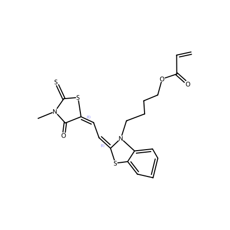 C=CC(=O)OCCCCN1/C(=C\C=C2\SC(=S)N(C)C2=O)Sc2ccccc21